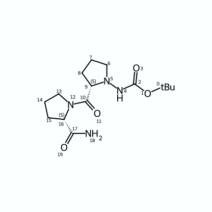 CC(C)(C)OC(=O)NN1CCC[C@H]1C(=O)N1CCC[C@H]1C(N)=O